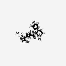 Cn1ncc(Br)c1-c1coc(C(=O)N[C@H]2CNCC[C@@H]2c2ccc(F)c(F)c2)c1